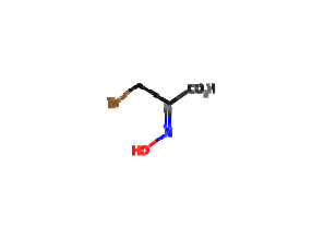 O=C(O)C(CBr)=NO